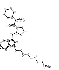 COCCOCCOCCn1cc(CC2CCCN2C(=O)C(N)C2CCCCC2)c2ccc(F)cc21